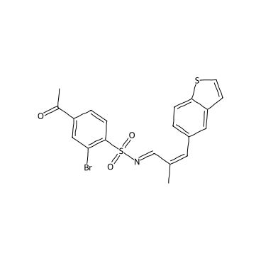 CC(=O)c1ccc(S(=O)(=O)N=CC(C)=Cc2ccc3sccc3c2)c(Br)c1